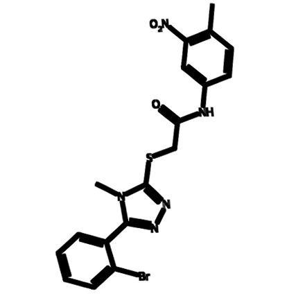 Cc1ccc(NC(=O)CSc2nnc(-c3ccccc3Br)n2C)cc1[N+](=O)[O-]